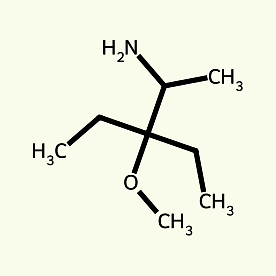 CCC(CC)(OC)C(C)N